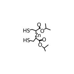 CC(C)OC(=O)[CH](CS)[Zn][CH](CS)C(=O)OC(C)C